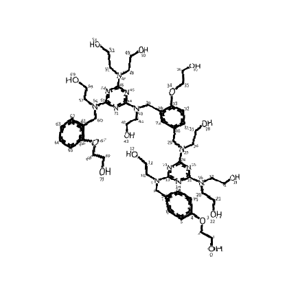 OCCOc1ccc(CN(CCO)c2nc(N(CCO)CCO)nc(N(CCO)Cc3ccc(OCCO)c(CN(CCO)c4nc(N(CCO)CCO)nc(N(CCO)Cc5ccccc5OCCO)n4)c3)n2)cc1